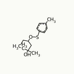 CCC(CC(C)(C)O)OSc1ccc(C)cc1